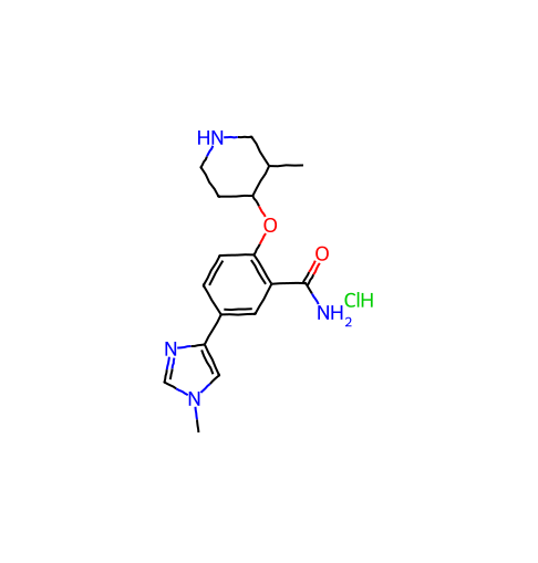 CC1CNCCC1Oc1ccc(-c2cn(C)cn2)cc1C(N)=O.Cl